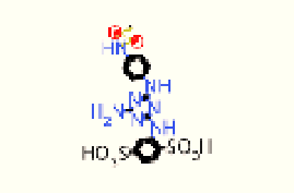 CS(=O)(=O)Nc1ccc(Nc2nc(N)nc(Nc3cc(S(=O)(=O)O)ccc3S(=O)(=O)O)n2)cc1